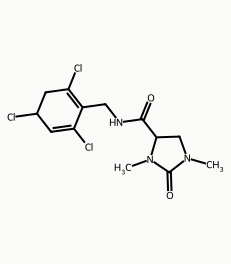 CN1CC(C(=O)NCC2=C(Cl)CC(Cl)C=C2Cl)N(C)C1=O